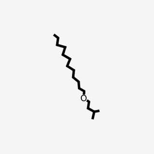 CCCCCCCCCCCCOCCC(C)C